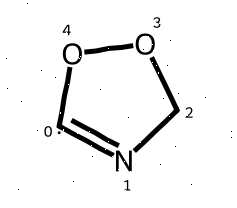 [C]1=NCOO1